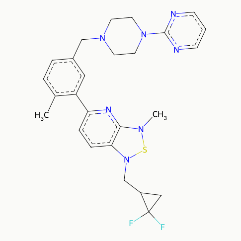 Cc1ccc(CN2CCN(c3ncccn3)CC2)cc1-c1ccc2c(n1)N(C)SN2CC1CC1(F)F